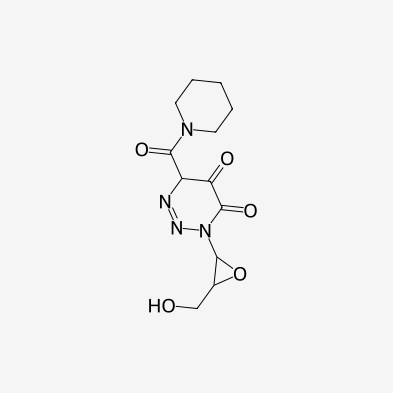 O=C1C(=O)N(C2OC2CO)N=NC1C(=O)N1CCCCC1